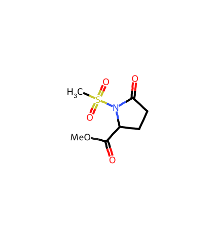 COC(=O)C1CCC(=O)N1S(C)(=O)=O